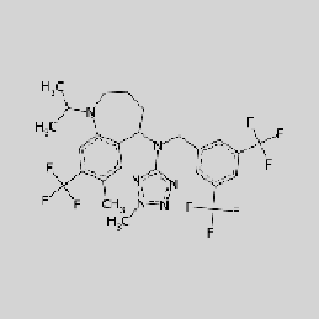 Cc1cc2c(cc1C(F)(F)F)N(C(C)C)CCCC2N(Cc1cc(C(F)(F)F)cc(C(F)(F)F)c1)c1nnn(C)n1